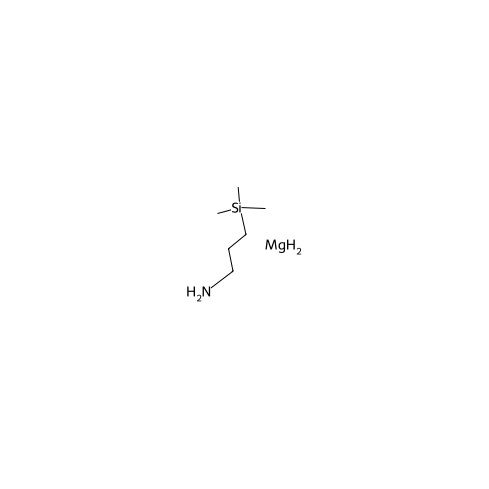 C[Si](C)(C)CCCN.[MgH2]